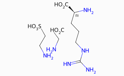 N=C(N)NCCC[C@H](N)C(=O)O.NCC(=O)O.NCCS(=O)(=O)O